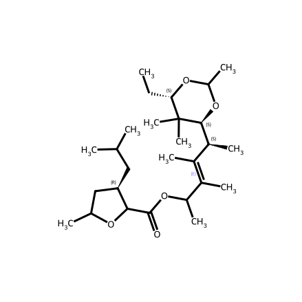 CC[C@@H]1OC(C)O[C@@H]([C@@H](C)/C(C)=C(\C)C(C)OC(=O)C2OC(C)C[C@H]2CC(C)C)C1(C)C